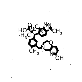 Cc1ccc([C@@H](c2ccc3c(nnn3C)c2C)C(C)(C)C(=O)O)cc1CN1CCOc2ccc(O)nc2C1